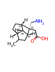 CC1C[C@@H]2[C@@H]3[C@H]1CC[C@@H]3[C@@]2(CN)CC(=O)O